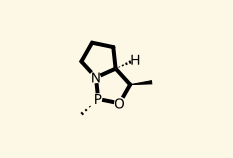 C[C@H]1O[P@](C)N2CCC[C@@H]12